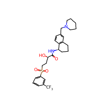 O=C(N[C@@H]1CCCc2cc(CN3CCCCC3)ccc21)[C@H](O)CCS(=O)(=O)c1cccc(C(F)(F)F)c1